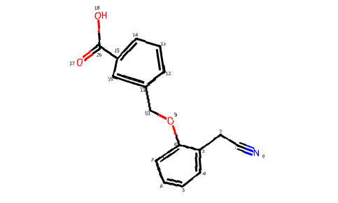 N#CCc1ccccc1OCc1cccc(C(=O)O)c1